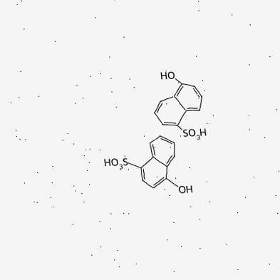 O=S(=O)(O)c1ccc(O)c2ccccc12.O=S(=O)(O)c1cccc2c(O)cccc12